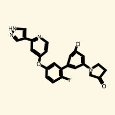 O=C1CCN(c2cc(Cl)cc(-c3cc(Oc4ccnc(-c5cn[nH]c5)c4)ccc3F)c2)C1